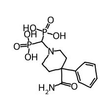 NC(=O)C1(c2ccccc2)CCN(C(P(=O)(O)O)P(=O)(O)O)CC1